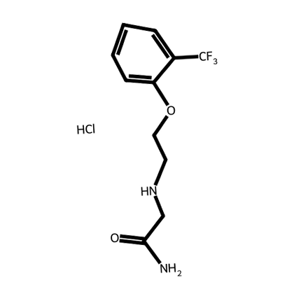 Cl.NC(=O)CNCCOc1ccccc1C(F)(F)F